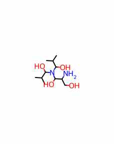 CC(C)C(O)N(C(O)C(C)C)C(O)C(N)CO